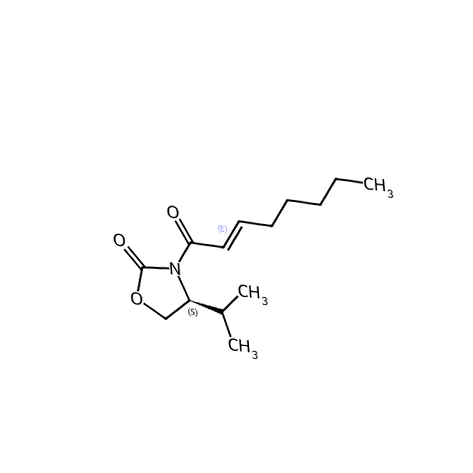 CCCCC/C=C/C(=O)N1C(=O)OC[C@@H]1C(C)C